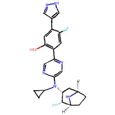 Oc1cc(-c2cn[nH]c2)c(F)cc1-c1cnc(N(C2CC2)[C@@H]2C[C@H]3CC[C@H](N3)[C@@H]2F)cn1